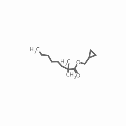 CCCCCCC(C)(C)C(=O)OCC1CC1